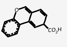 O=C(O)C1C=CC2=COc3ccccc3C2=C1